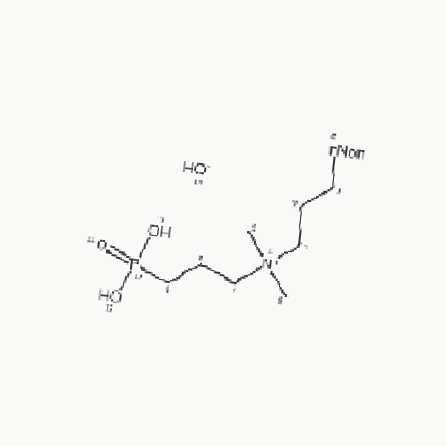 CCCCCCCCCCCC[N+](C)(C)CCCP(=O)(O)O.[OH-]